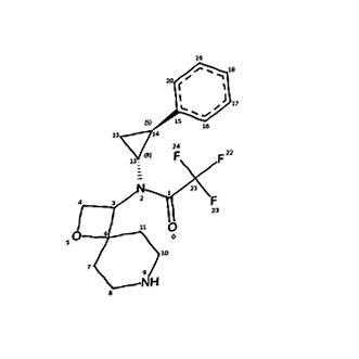 O=C(N(C1COC12CCNCC2)[C@@H]1C[C@H]1c1ccccc1)C(F)(F)F